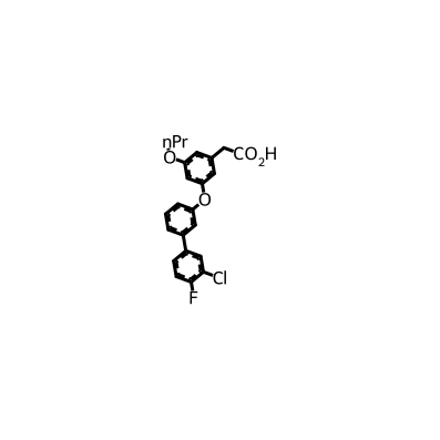 CCCOc1cc(CC(=O)O)cc(Oc2cccc(-c3ccc(F)c(Cl)c3)c2)c1